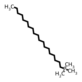 C=P(C)(C)CCCCCCCCCCCCCCCCCCC